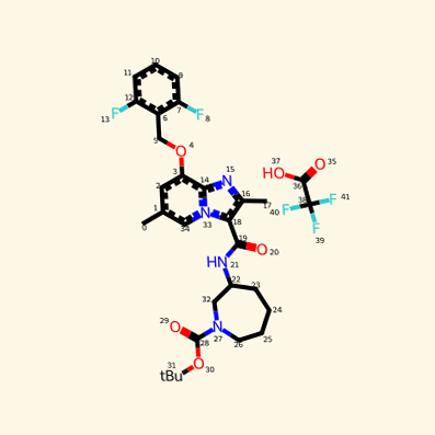 Cc1cc(OCc2c(F)cccc2F)c2nc(C)c(C(=O)NC3CCCCN(C(=O)OC(C)(C)C)C3)n2c1.O=C(O)C(F)(F)F